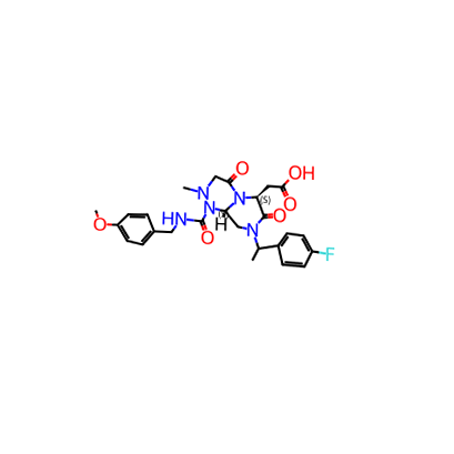 COc1ccc(CNC(=O)N2[C@H]3CN(C(C)c4ccc(F)cc4)C(=O)[C@H](CC(=O)O)N3C(=O)CN2C)cc1